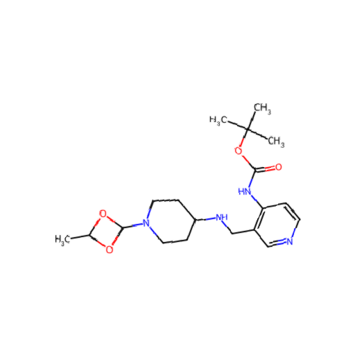 CC1OC(N2CCC(NCc3cnccc3NC(=O)OC(C)(C)C)CC2)O1